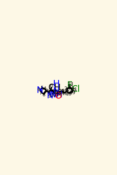 Cc1c(-c2ccncc2)n[nH]c1NC(=O)C=Cc1ccc(Cl)c(F)c1